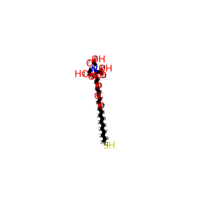 O=C(O)CN(CC(=O)O)C(OCCOCCOCCOCCCCCCCCCCCS)C(=O)O